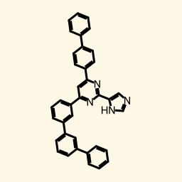 c1ccc(-c2ccc(-c3cc(-c4cccc(-c5cccc(-c6ccccc6)c5)c4)nc(-c4cnc[nH]4)n3)cc2)cc1